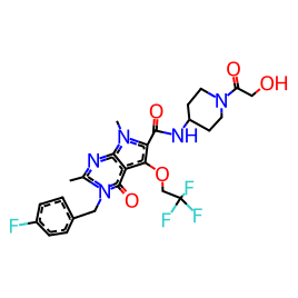 Cc1nc2c(c(OCC(F)(F)F)c(C(=O)NC3CCN(C(=O)CO)CC3)n2C)c(=O)n1Cc1ccc(F)cc1